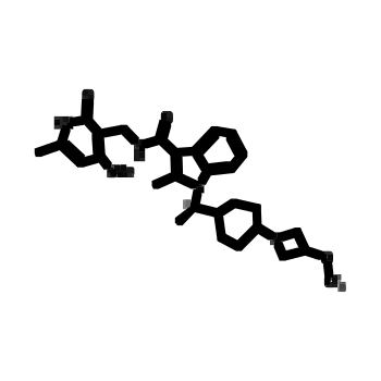 CSc1cc(C)[nH]c(=O)c1CNC(=O)c1c(C)n([C@H](C)C2CCC(N3CC(OC(F)(F)F)C3)CC2)c2ccccc12